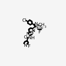 Cc1nc(-c2ccc(Cl)cc2)c(-c2ccc3nc(NC(=O)c4ccnc(F)c4)cn3n2)n1CC(F)(F)F